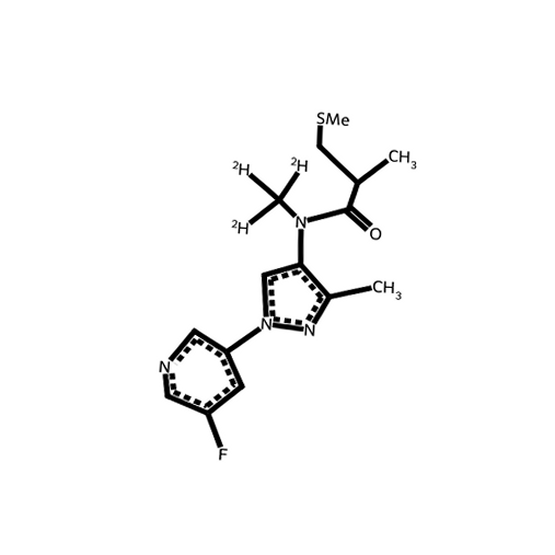 [2H]C([2H])([2H])N(C(=O)C(C)CSC)c1cn(-c2cncc(F)c2)nc1C